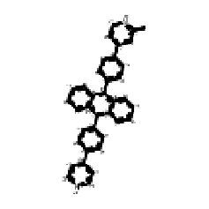 Cc1cc(-c2ccc(-c3c4ccccc4c(-c4ccc(-c5ccncc5)cc4)c4ccccc34)cc2)ccn1